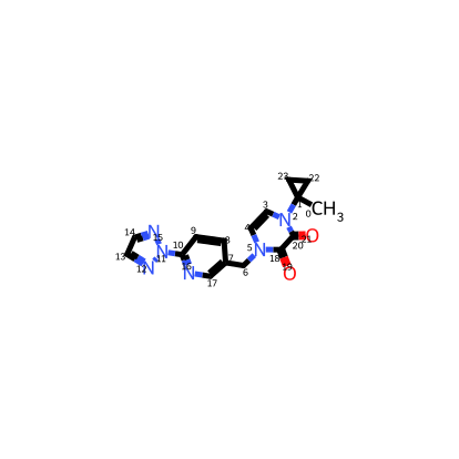 CC1(n2ccn(Cc3ccc(-n4nccn4)nc3)c(=O)c2=O)CC1